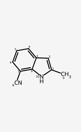 Cc1cc2cccc(C#N)c2[nH]1